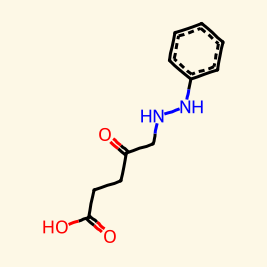 O=C(O)CCC(=O)CNNc1ccccc1